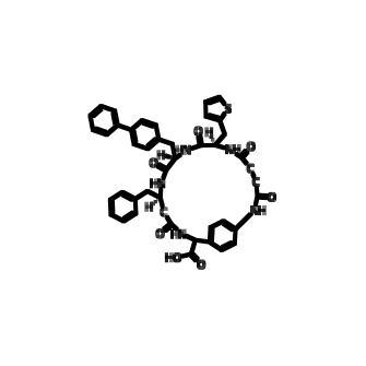 O=C1CCC(=O)N[C@H](Cc2cccs2)C(=O)N[C@@H](Cc2ccc(-c3ccccc3)cc2)C(=O)N[C@H](Cc2ccccc2)CC(=O)NC(C(=O)O)c2ccc(cc2)N1